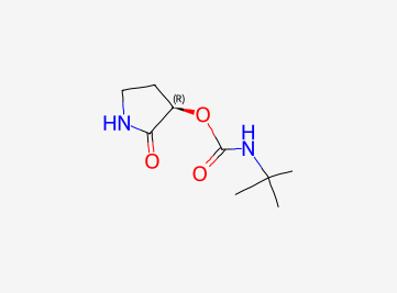 CC(C)(C)NC(=O)O[C@@H]1CCNC1=O